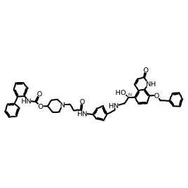 O=C(CCN1CCC(OC(=O)Nc2ccccc2-c2ccccc2)CC1)Nc1ccc(CNC[C@@H](O)c2ccc(OCc3ccccc3)c3[nH]c(=O)ccc23)cc1